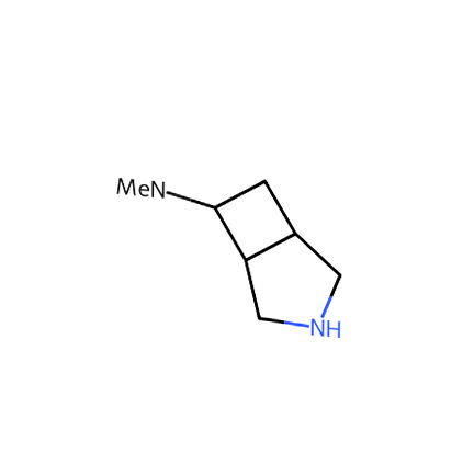 CNC1CC2CNCC21